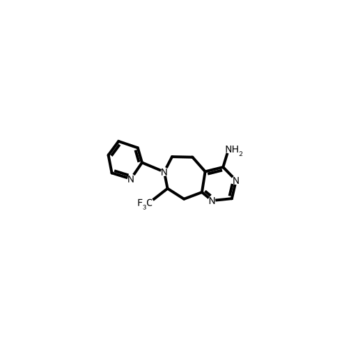 Nc1ncnc2c1CCN(c1ccccn1)C(C(F)(F)F)C2